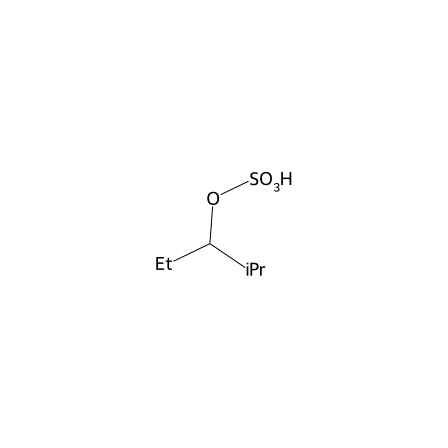 CCC(OS(=O)(=O)O)C(C)C